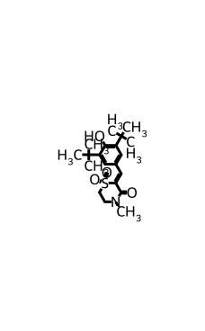 CN1CCS(=O)(=O)/C(=C\c2cc(C(C)(C)C)c(O)c(C(C)(C)C)c2)C1=O